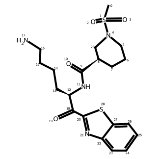 CS(=O)(=O)N1CCC[C@@H](C(=O)N[C@H](CCCCN)C(=O)c2nc3ccccc3s2)C1